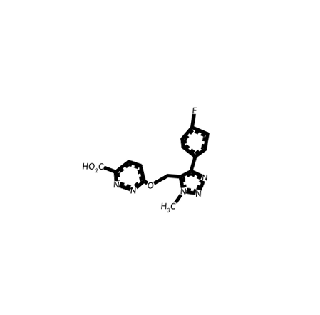 Cn1nnc(-c2ccc(F)cc2)c1COc1ccc(C(=O)O)nn1